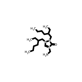 CCCCC(CC)CN1C=S(CN)C(=O)N1CC(CC)CCCC